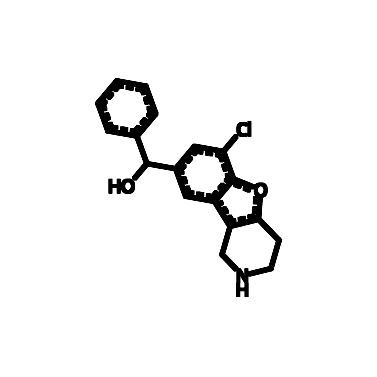 OC(c1ccccc1)c1cc(Cl)c2oc3c(c2c1)CNCC3